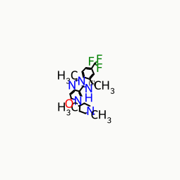 Cc1nc(N[C@@H](C)c2cccc(C(F)(F)F)c2)c2cn(C3(C)CCN(C)CC3)c(=O)cc2n1